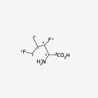 CC(CF)C(F)C(N)C(=O)O